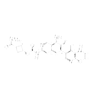 CNC(=O)[C@H]1C[C@@H](OC(=O)Nc2cc3cc(-c4cnc5c(c4C)NCCO5)c(F)c(N)c3cn2)C1